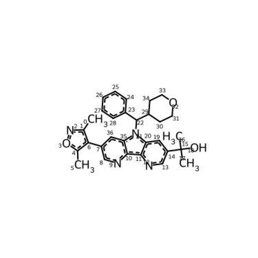 Cc1noc(C)c1-c1cnc2c3ncc(C(C)(C)O)cc3n(C(c3ccccc3)C3CCOCC3)c2c1